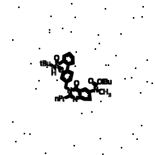 CCCc1nc2ccc(N(C)C(=O)OCC(C)C)cc2c(=O)n1Cc1ccc(-c2ccccc2S(=O)(=O)NC(C)(C)C)cc1